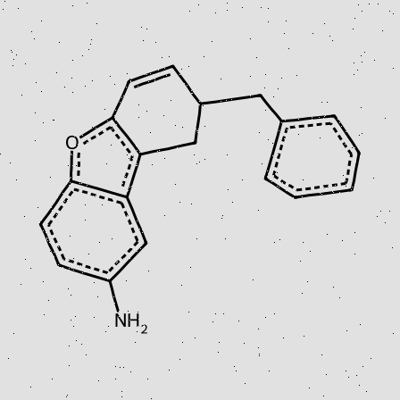 Nc1ccc2oc3c(c2c1)CC(Cc1ccccc1)C=C3